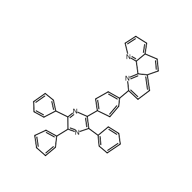 c1ccc(-c2nc(-c3ccccc3)c(-c3ccc(-c4ccc5ccc6cccnc6c5n4)cc3)nc2-c2ccccc2)cc1